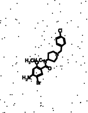 COc1cc(N)c(Br)cc1C(=O)N(C)C1CCN(Cc2ccc(Cl)cc2)CC1